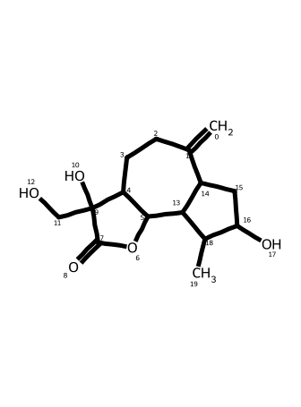 C=C1CCC2C(OC(=O)C2(O)CO)C2C1CC(O)C2C